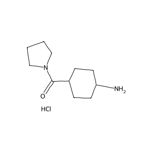 Cl.NC1CCC(C(=O)N2CCCC2)CC1